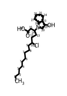 CCCCCCCCCCC(Cl)CCC(CC(=O)O)n1cc(O)c2ccccc21